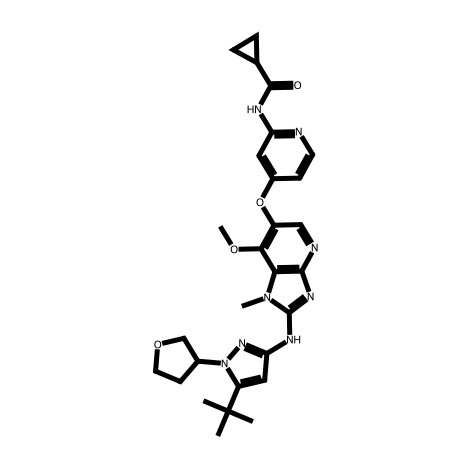 COc1c(Oc2ccnc(NC(=O)C3CC3)c2)cnc2nc(Nc3cc(C(C)(C)C)n(C4CCOC4)n3)n(C)c12